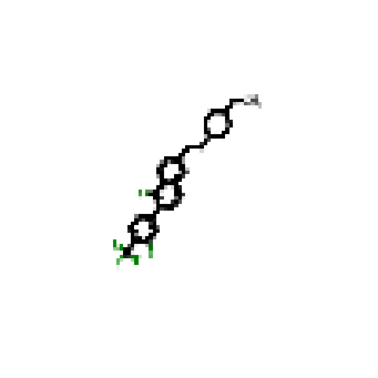 CCC1CCC(CCc2ccc3c(F)c(-c4ccc(C(F)(F)F)c(F)c4)ccc3c2)CC1